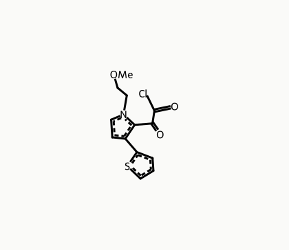 COCCn1ccc(-c2cccs2)c1C(=O)C(=O)Cl